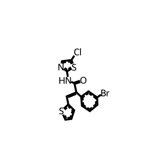 O=C(Nc1ncc(Cl)s1)/C(=C/c1cccs1)c1cccc(Br)c1